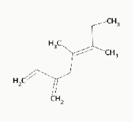 C=CC(=C)C/C(C)=C(\C)CC